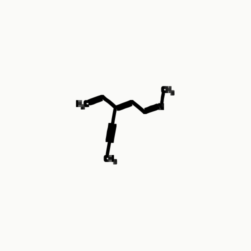 C=C/C(C#CC)=C/C=N\C